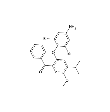 COc1cc(C(=O)c2ccccc2)c(Oc2c(Br)cc(N)cc2Br)cc1C(C)C